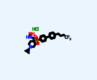 Cl.O=C(NO)C1(S(=O)(=O)c2ccc(-c3ccc(CCCC(F)(F)F)cc3)cc2)CCN(C2CC2)CC1